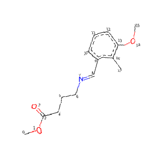 COC(=O)CCC/N=C/c1cccc(OC)c1C